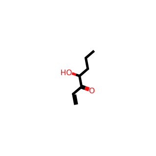 C=CC(=O)C(O)CCC